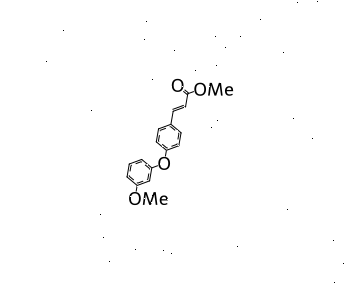 COC(=O)C=Cc1ccc(Oc2cccc(OC)c2)cc1